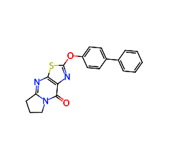 O=c1c2nc(Oc3ccc(-c4ccccc4)cc3)sc2nc2n1CCC2